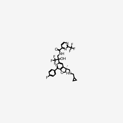 C[C@]1(CNCC2CC2)COc2c1cc(C(O)(CNC(=O)c1ccnc(C(F)(F)F)n1)C(F)(F)F)nc2-c1ccc(F)cc1